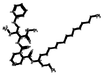 CCCCCCCCCCCCCCC(CCC)OC(=O)C1CNCCN1C(=O)OC(C(=O)NC)C(COc1ccccn1)OC